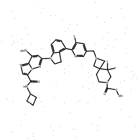 CNc1cc(N2CCc3c(-c4ncc(CN5CC6(CCN(C(=O)OC(C)(C)C)CC6(F)F)C5)cc4F)cccc32)nn2c(C(=O)NC3CCC3)cnc12